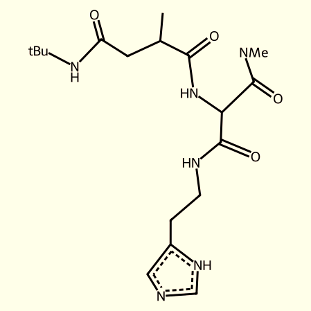 CNC(=O)C(NC(=O)C(C)CC(=O)NC(C)(C)C)C(=O)NCCc1cnc[nH]1